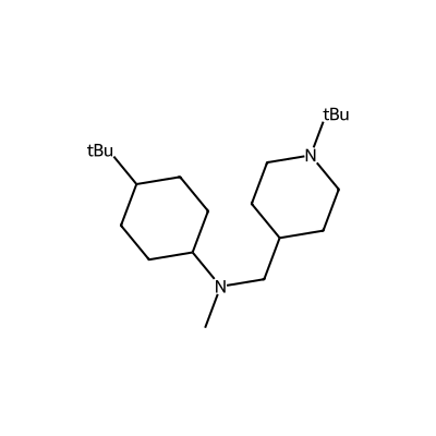 CN(CC1CCN(C(C)(C)C)CC1)C1CCC(C(C)(C)C)CC1